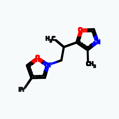 Cc1ncoc1C(C)C[n+]1cc(C(C)C)co1